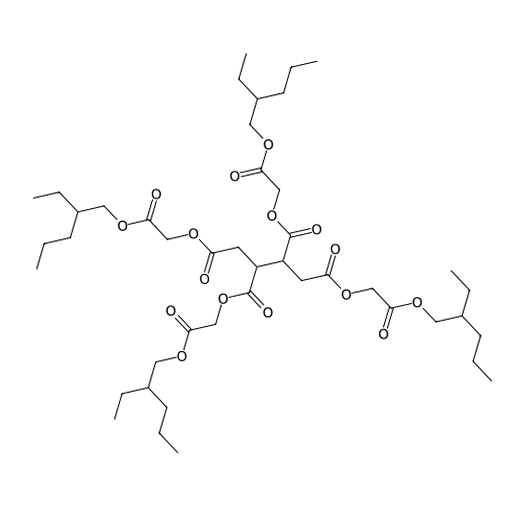 CCCC(CC)COC(=O)COC(=O)CC(C(=O)OCC(=O)OCC(CC)CCC)C(CC(=O)OCC(=O)OCC(CC)CCC)C(=O)OCC(=O)OCC(CC)CCC